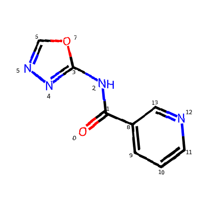 O=C(Nc1nnco1)c1cccnc1